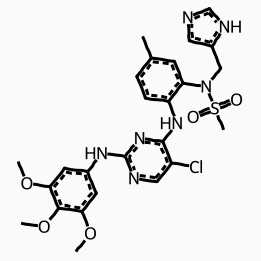 COc1cc(Nc2ncc(Cl)c(Nc3ccc(C)cc3N(Cc3cnc[nH]3)S(C)(=O)=O)n2)cc(OC)c1OC